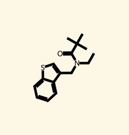 CCN(Cc1csc2ccccc12)C(=O)C(C)(C)C